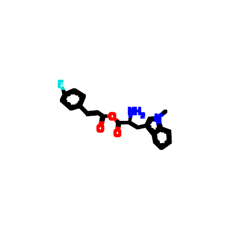 Cn1cc(C[C@H](N)C(=O)OC(=O)C=Cc2ccc(F)cc2)c2ccccc21